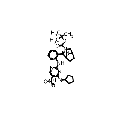 CC(C)(C)OC(=O)N1CC2CCC(N2)C1c1ccccc1Nc1ncc([N+](=O)[O-])c(NC2CCCC2)n1